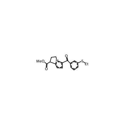 CCSc1cccc(C(=O)c2ccc3n2CCC3C(=O)OC)c1